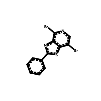 Brc1ncc(Br)c2sc(-c3ccccc3)nc12